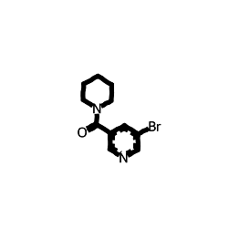 O=C(c1cncc(Br)c1)N1CCCCC1